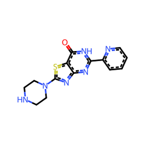 O=c1[nH]c(-c2ccccn2)nc2nc(N3CCNCC3)sc12